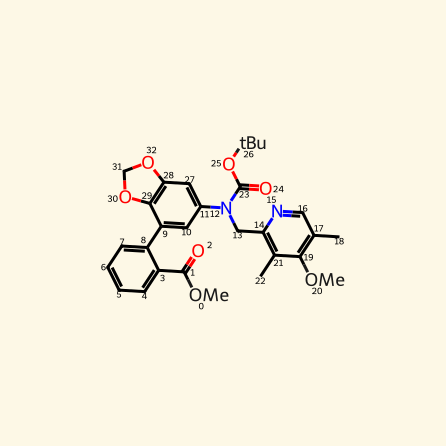 COC(=O)c1ccccc1-c1cc(N(Cc2ncc(C)c(OC)c2C)C(=O)OC(C)(C)C)cc2c1OCO2